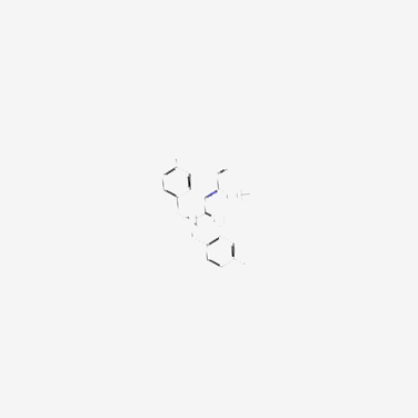 O=[C]/C(O)=C/C(=O)N(Cc1ccc(F)cc1)Cc1ccc(F)cc1